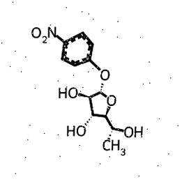 C[C@@H](O)[C@@H]1O[C@@H](Oc2ccc([N+](=O)[O-])cc2)[C@H](O)[C@H]1O